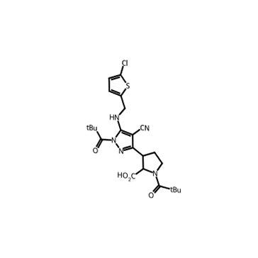 CC(C)(C)C(=O)N1CCC(c2nn(C(=O)C(C)(C)C)c(NCc3ccc(Cl)s3)c2C#N)C1C(=O)O